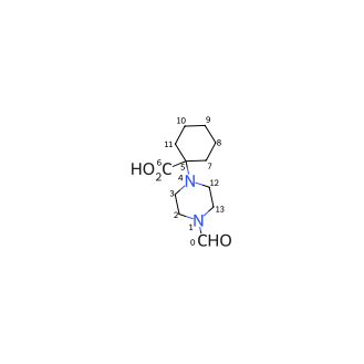 O=CN1CCN(C2(C(=O)O)CCCCC2)CC1